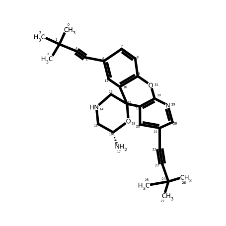 CC(C)(C)C#Cc1ccc2c(c1)C1(CNC[C@@H](N)O1)c1cc(C#CC(C)(C)C)cnc1O2